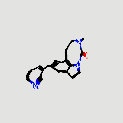 CN1CCc2cc(-c3cccnc3)cc3c2N(CC3)C1=O